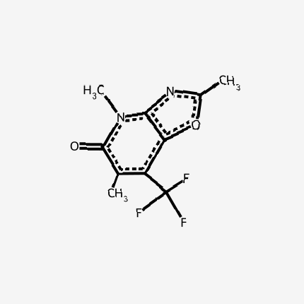 Cc1nc2c(o1)c(C(F)(F)F)c(C)c(=O)n2C